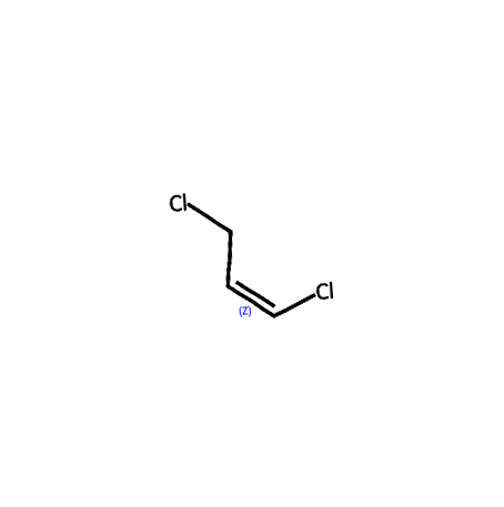 Cl/C=C\CCl